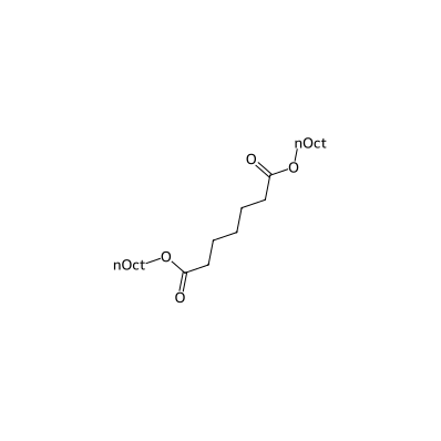 CCCCCCCCOC(=O)CCCCCC(=O)OCCCCCCCC